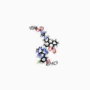 CC(c1oc(=O)c2ccccc2c1C1=CCN(C2CN(C(=O)OC(C)(C)C)C2)CC1)n1nc(-c2cc(F)cc(OC=O)c2)c2c(N)ncnc21